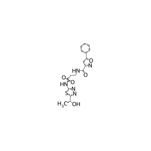 C[C@H](O)c1nnc(NS(=O)(=O)CCNC(=O)c2cc(-c3ccccc3)on2)s1